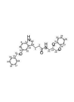 O=C(CCc1c[nH]c2ccc(OCc3ccccc3)cc12)NCC1COc2ccccc2O1